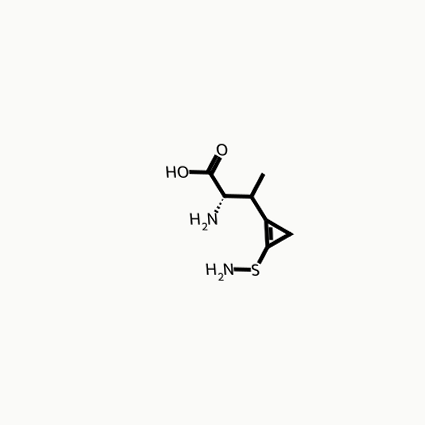 CC(C1=C(SN)C1)[C@H](N)C(=O)O